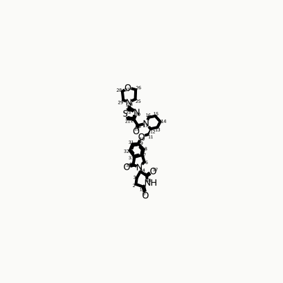 O=C1CCC(N2Cc3cc(OC[C@@H]4CCCCN4C(=O)c4csc(N5CCOCC5)n4)ccc3C2=O)C(=O)N1